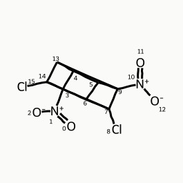 O=[N+]([O-])C12C3C4C1C1(Cl)C4([N+](=O)[O-])C3C21Cl